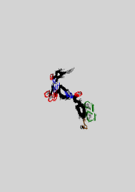 CSc1ccc(/C=C/C(=O)N2CCC(C(=O)NC(CN3Cc4ccccc4C3=O)C(=O)O)CC2)c(Cl)c1Cl